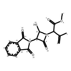 C=C(C)C(C(=O)OC)N1C(=O)C(N2C(=O)c3ccccc3C2=O)C1S